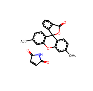 CC(=O)Oc1ccc2c(c1)Oc1cc(OC(C)=O)ccc1C21OC(=O)c2ccccc21.O=C1C=CC(=O)N1